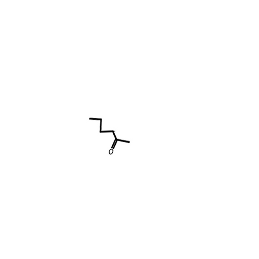 CCC[CH]C(C)=O